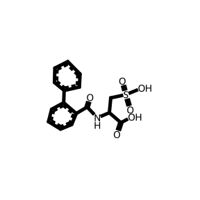 O=C(NC(CS(=O)(=O)O)C(=O)O)c1ccccc1-c1ccccc1